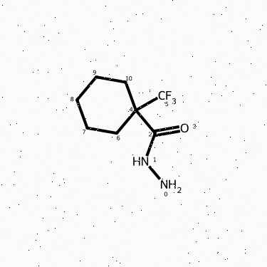 NNC(=O)C1(C(F)(F)F)CCCCC1